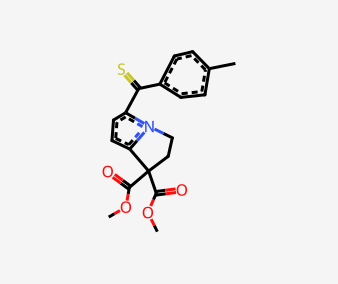 COC(=O)C1(C(=O)OC)CCn2c(C(=S)c3ccc(C)cc3)ccc21